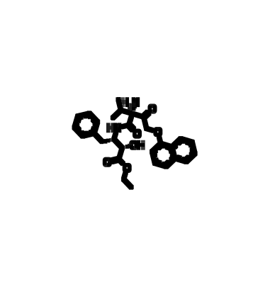 CCOC(=O)[C@@H](O)[C@H](Cc1ccccc1)NC(=O)[C@](N)(C(=O)COc1cccc2ccccc12)C(C)C